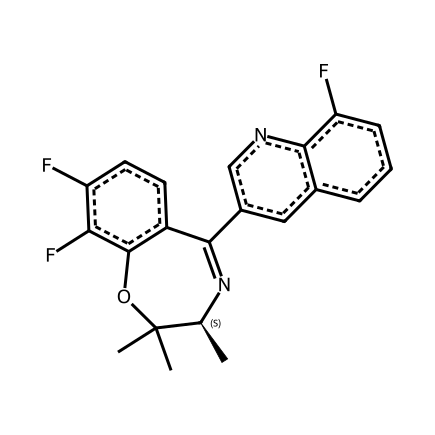 C[C@@H]1N=C(c2cnc3c(F)cccc3c2)c2ccc(F)c(F)c2OC1(C)C